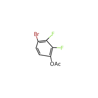 CC(=O)Oc1ccc(Br)c(F)c1F